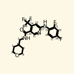 O=C(NCC1CCOCC1)c1cnc(Nc2ccc(F)cc2F)cc1C(F)(F)F